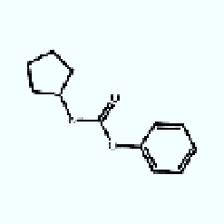 O=C([N]C1CCCC1)Oc1ccccc1